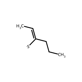 CC=C([S])CCC